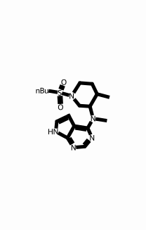 CCCCS(=O)(=O)N1CCC(C)C(N(C)c2ncnc3[nH]ccc23)C1